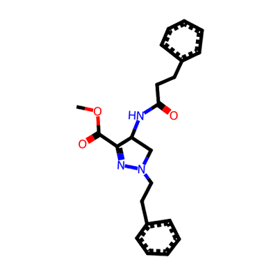 COC(=O)C1=NN(CCc2ccccc2)CC1NC(=O)CCc1ccccc1